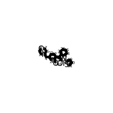 [O-][n+]1cc(CN2CCOCC2)ccc1-c1c(O)n(-c2cccs2)c2ccccc12